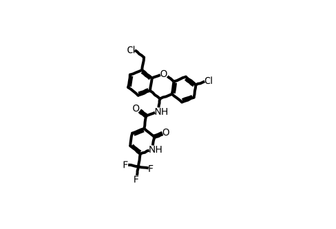 O=C(NC1c2ccc(Cl)cc2Oc2c(CCl)cccc21)c1ccc(C(F)(F)F)[nH]c1=O